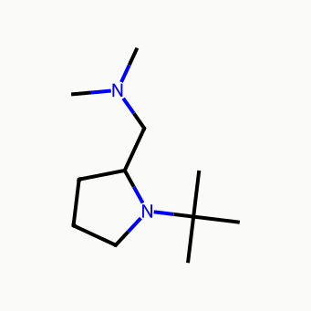 CN(C)CC1CCCN1C(C)(C)C